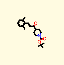 Cc1cccc(C)c1C=CC(=O)C1CCN(C(=O)OC(C)(C)C)CC1